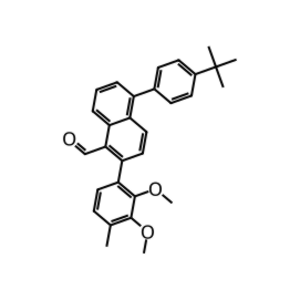 COc1c(C)ccc(-c2ccc3c(-c4ccc(C(C)(C)C)cc4)cccc3c2C=O)c1OC